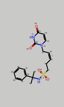 CC(C)(NS(=O)(=O)CC/C=C\Cn1ccc(=O)[nH]c1=O)c1ccccc1